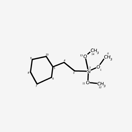 CO[Si](CCC1CCCCC1)(OC)OC